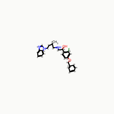 CC(CCn1cnc2ccccc21)CNCC(O)c1ccc(OCc2ccccc2)cc1F